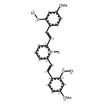 CCOc1cc(OC)ccc1/C=C/c1cccc(/C=C/c2ccc(OC)cc2OCC)[n+]1C